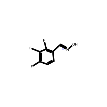 O/N=C/c1ccc(F)c(F)c1F